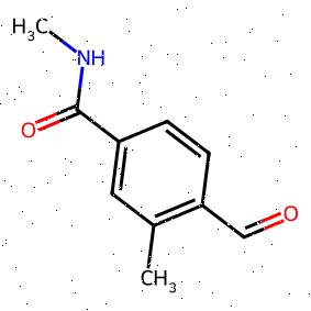 CNC(=O)c1ccc(C=O)c(C)c1